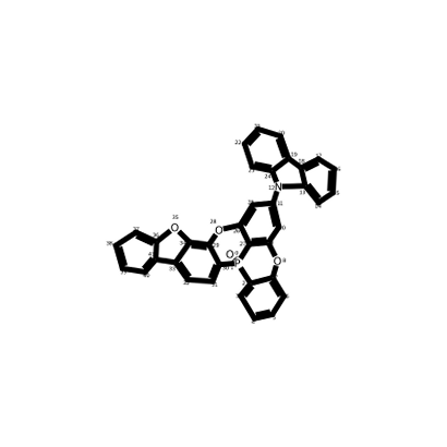 O=P12c3ccccc3Oc3cc(-n4c5ccccc5c5ccccc54)cc(c31)Oc1c2ccc2c1oc1ccccc12